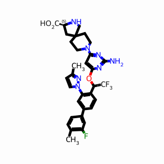 Cc1ccn(-c2cc(-c3ccc(C)c(F)c3)ccc2C(Oc2cc(N3CCC4(CC3)CN[C@H](C(=O)O)C4)nc(N)n2)C(F)(F)F)n1